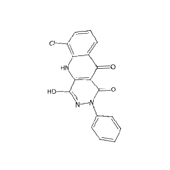 O=c1c2cccc(Cl)c2[nH]c2c(O)nn(-c3ccccc3)c(=O)c12